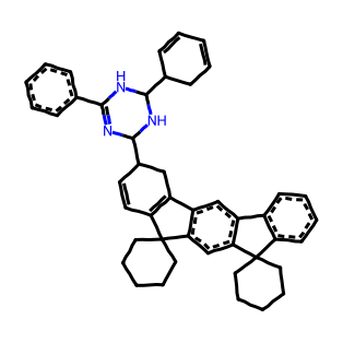 C1=CCC(C2NC(c3ccccc3)=NC(C3C=CC4=C(C3)c3cc5c(cc3C43CCCCC3)C3(CCCCC3)c3ccccc3-5)N2)C=C1